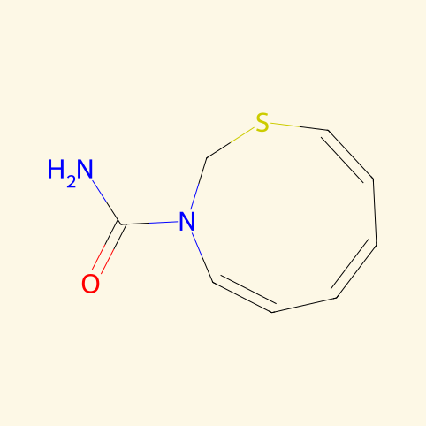 NC(=O)N1C=CC=CC=CSC1